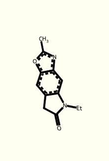 CCN1C(=O)Cc2cc3oc(C)nc3cc21